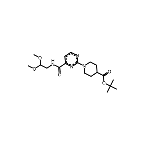 COC(CNC(=O)c1ccnc(N2CCC(C(=O)OC(C)(C)C)CC2)n1)OC